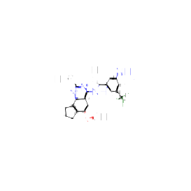 COc1cc2c(N[C@H](C)c3cc(N)cc(C(F)(F)F)c3)nc(C)nc2c2c1CCC2